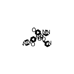 COc1ccc(N(C(=O)OCc2cccnc2)c2ccncn2)c(Nc2ccc(N3CCN(C)CC3)c(OC)c2)c1